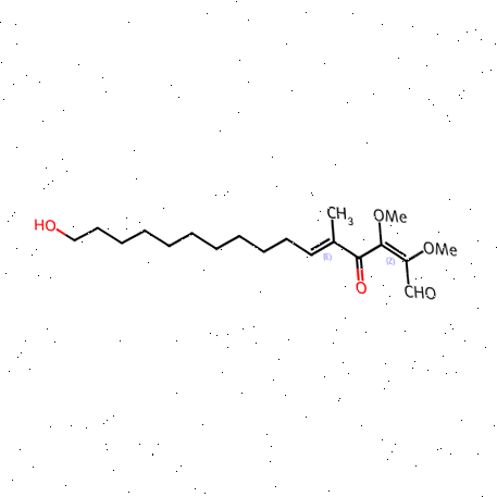 CO/C(C=O)=C(\OC)C(=O)/C(C)=C/CCCCCCCCCCO